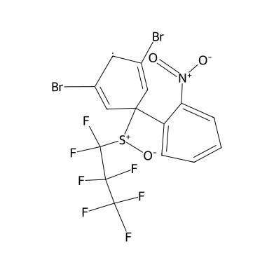 O=[N+]([O-])c1ccccc1C1([S+]([O-])C(F)(F)C(F)(F)C(F)(F)F)C=C(Br)[CH]C(Br)=C1